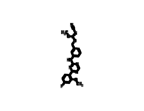 COc1cc(F)ccc1-c1ncnc(Nc2cccc(COS(=NC#N)OC)c2)n1